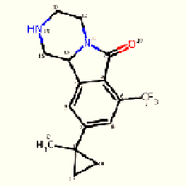 CC1(c2cc3c(c(C(F)(F)F)c2)C(=O)N2CCNCC32)CC1